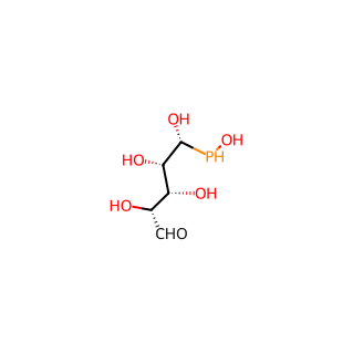 O=C[C@H](O)[C@@H](O)[C@H](O)[C@H](O)PO